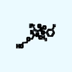 CC(C)c1nc(COCCO)n(C)c1S(=O)(=O)Oc1cccc(F)c1